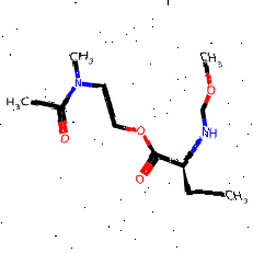 CC[C@H](NCOC)C(=O)OCCN(C)C(C)=O